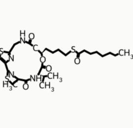 CCCCCCCC(=O)SCCCC[C@@H]1CC(=O)NCc2nc(cs2)C2=N[C@@](C)(CS2)C(=O)N[C@@H](C(C)C)C(=O)O1